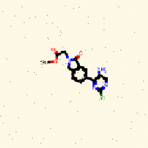 CC(C)(C)OC(=O)CN1Cc2ccc(-c3nc(Cl)ncc3N)cc2C1=O